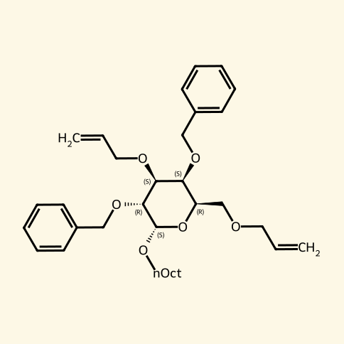 C=CCOC[C@H]1O[C@H](OCCCCCCCC)[C@H](OCc2ccccc2)[C@@H](OCC=C)[C@H]1OCc1ccccc1